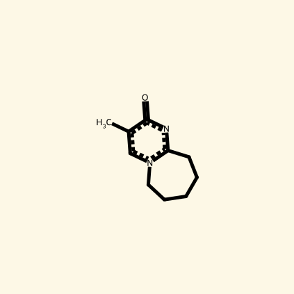 Cc1cn2c(nc1=O)CCCCC2